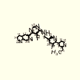 CCc1cc(-c2ncc(CNc3ncnc(-c4cc5cccnc5cn4)c3F)cc2F)ccn1